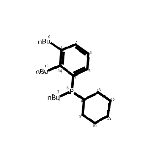 CCCCc1cccc(P(CCCC)C2CCCCC2)c1CCCC